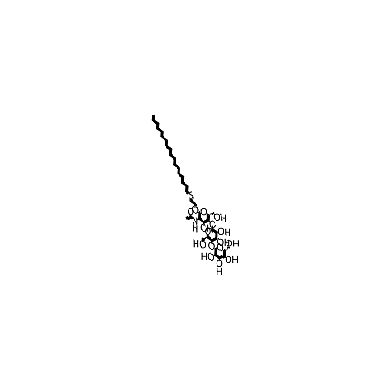 CCCCCCCCCCCCCCCCCCSCCO[C@@H]1O[C@H](CO)[C@@H](O[C@@H]2O[C@H](CO)[C@H](O[C@H]3O[C@H](CO)[C@H](O)[C@H](O)[C@H]3O)[C@H](O)[C@H]2O)[C@H](O)[C@H]1NC(C)=O